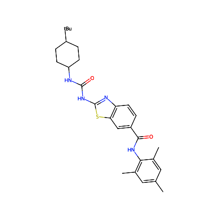 Cc1cc(C)c(NC(=O)c2ccc3nc(NC(=O)NC4CCC(C(C)(C)C)CC4)sc3c2)c(C)c1